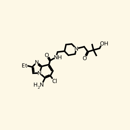 CCc1cn2c(N)c(Cl)cc(C(=O)NCC3CCN(CC(=O)C(C)(C)CO)CC3)c2n1